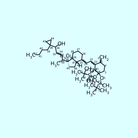 C=C1CCC(O[Si](C)(C)C(C)(C)C)(O[Si](C)(C)C(C)(C)C)CC1=CC=C1CCC[C@]2(C)[C@@H]([C@H](C)C=CC(O)C3(CCCC)CC3)CC[C@@H]12